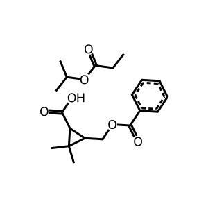 CC1(C)C(COC(=O)c2ccccc2)C1C(=O)O.CCC(=O)OC(C)C